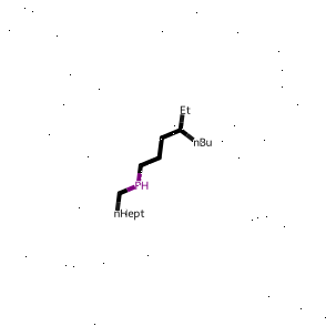 CCCCCCCCPCCCC(CC)CCCC